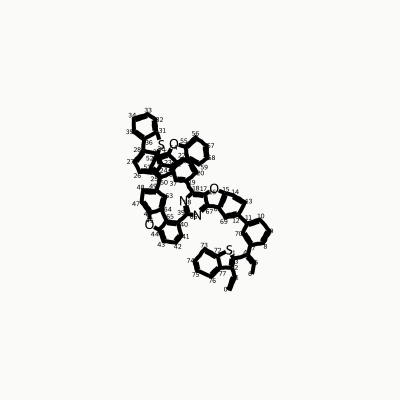 C=Cc1c(/C(=C\C)c2cccc(-c3ccc4oc5c(-c6cccc(-c7cccc8c7sc7ccccc78)c6)nc(-c6cccc7oc8ccc(-c9ccc%10oc%11ccccc%11c%10c9)cc8c67)nc5c4c3)c2)sc2ccccc12